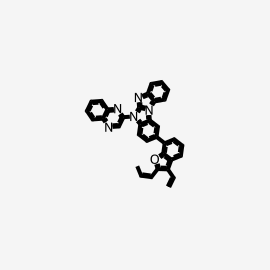 C=Cc1c(/C=C\C)oc2c(-c3ccc4c(c3)n3c5ccccc5nc3n4-c3cnc4ccccc4n3)cccc12